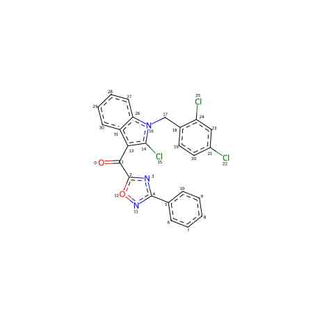 O=C(c1nc(-c2ccccc2)no1)c1c(Cl)n(Cc2ccc(Cl)cc2Cl)c2ccccc12